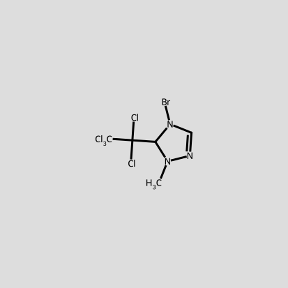 CN1N=CN(Br)C1C(Cl)(Cl)C(Cl)(Cl)Cl